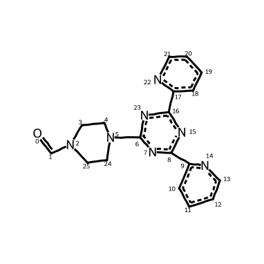 O=CN1CCN(c2nc(-c3ccccn3)nc(-c3ccccn3)n2)CC1